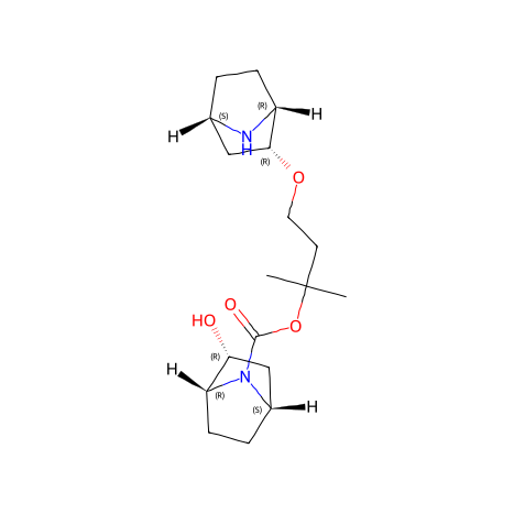 CC(C)(CCO[C@@H]1C[C@@H]2CC[C@H]1N2)OC(=O)N1[C@H]2CC[C@@H]1[C@H](O)C2